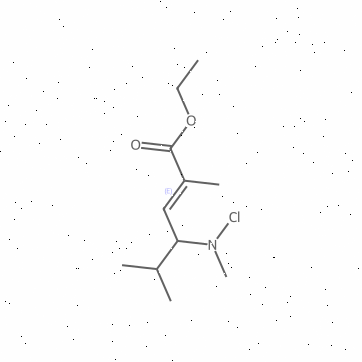 CCOC(=O)/C(C)=C/C(C(C)C)N(C)Cl